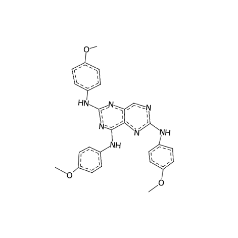 COc1ccc(Nc2nc(Nc3ccc(OC)cc3)c3nc(Nc4ccc(OC)cc4)ncc3n2)cc1